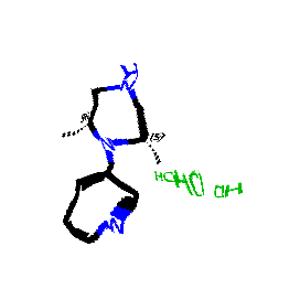 C[C@@H]1CNC[C@H](C)N1c1cccnc1.Cl.Cl.Cl